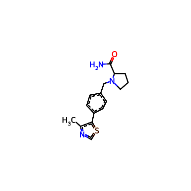 Cc1ncsc1-c1ccc(CN2CCCC2C(N)=O)cc1